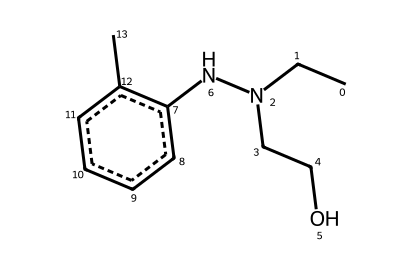 CCN(CCO)Nc1ccccc1C